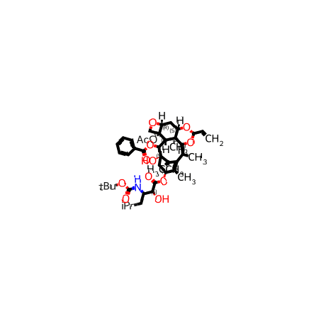 C=CC1O[C@H]2C[C@H]3OC[C@@]3(OC(C)=O)[C@H]3C(OC(=O)c4ccccc4)[C@]4(O)C[C@H](OC(=O)[C@@H](O)C(CC(C)C)NC(=O)OC(C)(C)C)C(C)=C(C(C)[C@H](O1)[C@]23C)C4(C)C